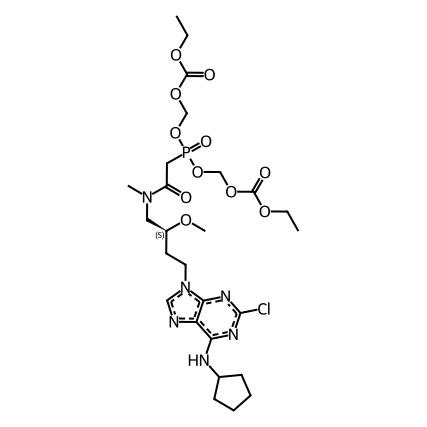 CCOC(=O)OCOP(=O)(CC(=O)N(C)C[C@H](CCn1cnc2c(NC3CCCC3)nc(Cl)nc21)OC)OCOC(=O)OCC